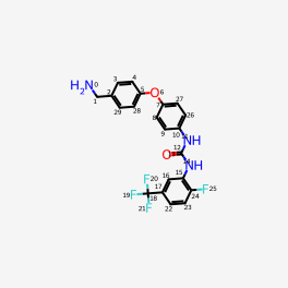 NCc1ccc(Oc2ccc(NC(=O)Nc3cc(C(F)(F)F)ccc3F)cc2)cc1